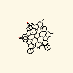 Cc1ccc2c(c1)c1cc(C)ccc1n2-c1c(-c2ccccn2)c(-n2c3ccc(C)cc3c3cc(C)ccc32)c(-n2c3ccc(C)cc3c3cc(C)ccc32)c(-n2c3ccc(C)cc3c3cc(C)ccc32)c1-c1cc(-c2ccccc2)nc(-c2ccccc2)n1